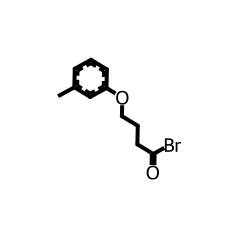 Cc1cccc(OCCCC(=O)Br)c1